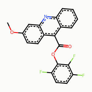 COc1ccc2c(C(=O)Oc3c(F)ccc(F)c3F)c3ccccc3nc2c1